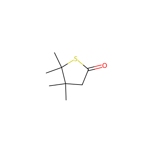 CC1(C)CC(=O)SC1(C)C